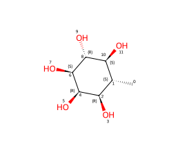 C[C@@H]1[C@@H](O)[C@@H](O)[C@@H](O)[C@H](O)[C@H]1O